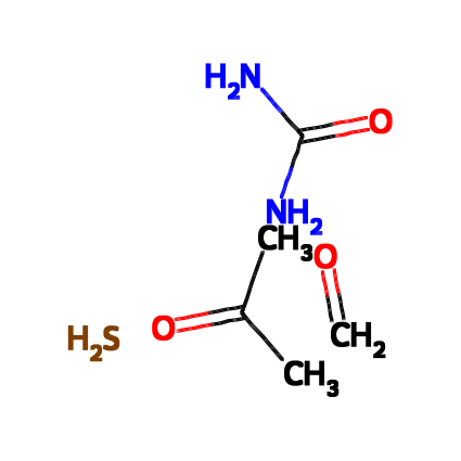 C=O.CC(C)=O.NC(N)=O.S